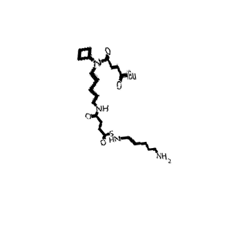 CCC(C)C(=O)CCC(=O)N(CCCCCNC(=O)CCC(=O)SNCCCCCN)C1CCC1